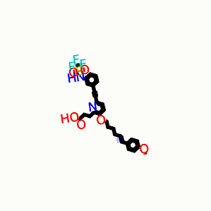 COc1ccc(/C=C/CCCCOc2ccc(C#Cc3cccc(NS(=O)(=O)C(F)(F)F)c3)nc2CCC(=O)O)cc1